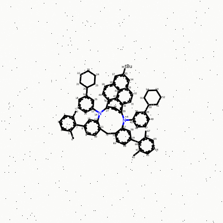 Cc1cccc(C)c1-c1ccc2c(c1)N(c1cccc(C3CCCCC3)c1)c1cc(c3ccc4cc(C(C)(C)C)cc5ccc1c3c54)N(c1cccc(C3CCCCC3)c1)c1cc(-c3c(C)cccc3C)ccc1C2